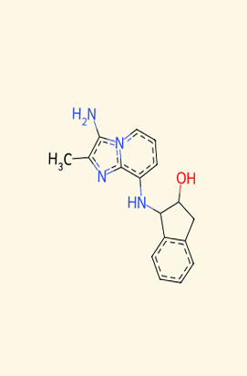 Cc1nc2c(NC3c4ccccc4CC3O)cccn2c1N